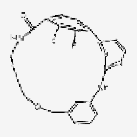 O=C1NCCCCOCc2cccc(c2)Nc2nccc(n2)-c2ccc1c(F)c2F